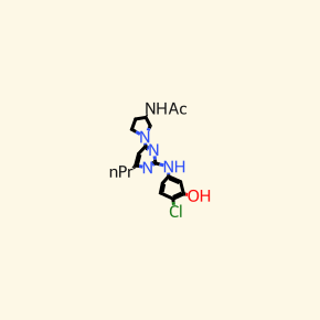 CCCc1cc(N2CC[C@H](NC(C)=O)C2)nc(Nc2ccc(Cl)c(O)c2)n1